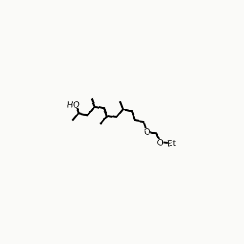 CCOCOCCCC(C)CC(C)CC(C)CC(C)O